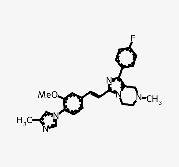 COc1cc(/C=C/c2nc(-c3ccc(F)cc3)c3n2CCN(C)C3)ccc1-n1cnc(C)c1